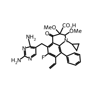 C=Cc1c(F)c(Cc2cnc(N)nc2N)c2c(c1-c1ccccc1)N(C1CC1)C(OC)C(OC)(C(=O)O)C2=O